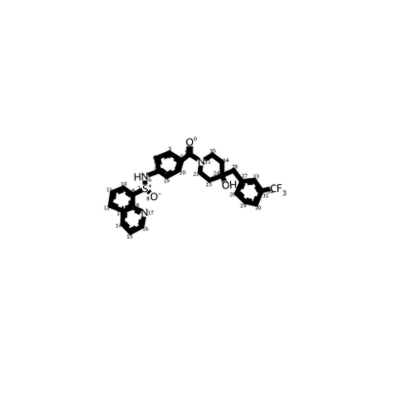 O=C(c1ccc(N[S+]([O-])c2cccc3cccnc23)cc1)N1CCC(O)(Cc2cccc(C(F)(F)F)c2)CC1